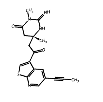 CC#Cc1cnc2scc(C(=O)C[C@]3(C)CC(=O)N(C)C(=N)N3)c2c1